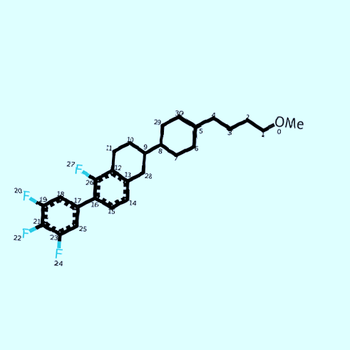 COCCCCC1CCC(C2CCc3c(ccc(-c4cc(F)c(F)c(F)c4)c3F)C2)CC1